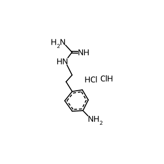 Cl.Cl.N=C(N)NCCc1ccc(N)cc1